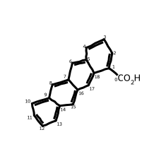 O=C(O)c1cccc2cc3cc4ccccc4cc3cc12